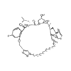 CC(C)C[C@H]1NC(=O)c2ccc(F)cc2OCc2cn(nn2)CCCCCCCCNC(=O)[C@H](Cc2cscn2)N(C)C(=O)[C@H]2C[C@H](O)CN2C1=O